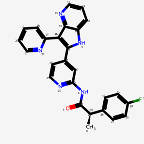 C[C@@H](C(=O)Nc1cc(-c2[nH]c3cccnc3c2-c2ccccn2)ccn1)c1ccc(F)cc1